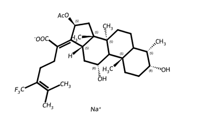 CC(=O)O[C@H]1C[C@@]2(C)[C@H](C[C@@H](O)C3[C@@]4(C)CC[C@@H](O)[C@@H](C)C4CC[C@@]32C)C1=C(CCC(=C(C)C)C(F)(F)F)C(=O)[O-].[Na+]